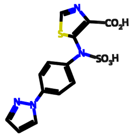 O=C(O)c1ncsc1N(c1ccc(-n2cccn2)cc1)S(=O)(=O)O